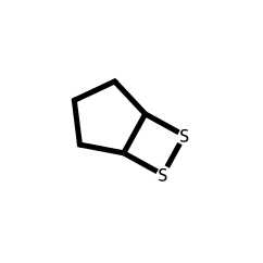 C1CC2SSC2C1